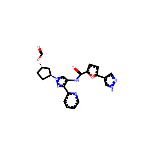 O=CO[C@H]1CC[C@H](n2cc(NC(=O)c3ccc(-c4cn[nH]c4)o3)c(-c3ccccn3)n2)C1